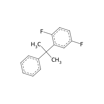 CC(C)(c1ccccc1)c1cc(F)ccc1F